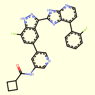 O=C(Nc1cncc(-c2cc(F)c3[nH]nc(-c4nc5c(-c6ccccc6F)ccnc5[nH]4)c3c2)c1)C1CCC1